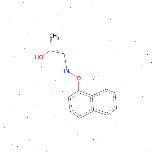 C[C@@H](O)CNOc1cccc2ccccc12